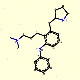 CN(C)CCCc1c(CC2CCCN2)cccc1Nc1ccccc1